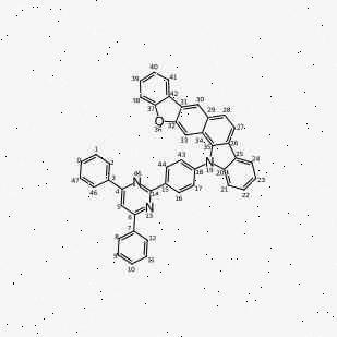 c1ccc(-c2cc(-c3ccccc3)nc(-c3ccc(-n4c5ccccc5c5ccc6cc7c(cc6c54)oc4ccccc47)cc3)n2)cc1